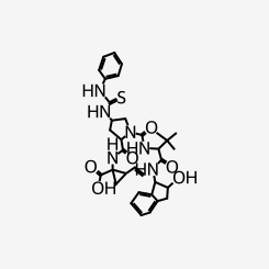 C=CC1CC1(NC(=O)C1CC(NC(=S)Nc2ccccc2)CN1C(=O)NC(C(=O)NC1c2ccccc2CC1O)C(C)(C)C)C(=O)O